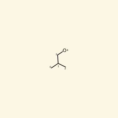 CC(C)C[O]